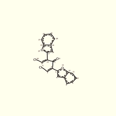 O=C(C(=CCl)c1cc2ccccc2o1)C(=CCl)c1cc2ccccc2o1